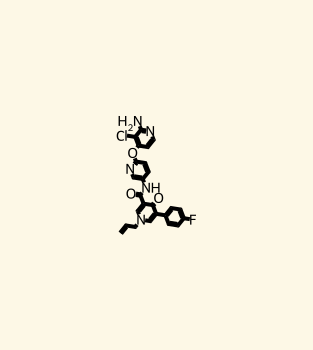 C=CCn1cc(C(=O)Nc2ccc(Oc3ccnc(N)c3Cl)nc2)c(=O)c(-c2ccc(F)cc2)c1